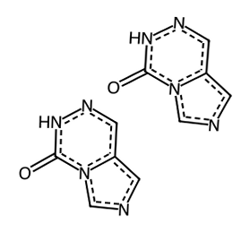 O=c1[nH]ncc2cncn12.O=c1[nH]ncc2cncn12